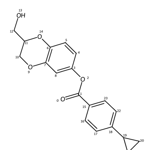 O=C(Oc1ccc2c(c1)OCC(CO)O2)c1ccc(C2CC2)cc1